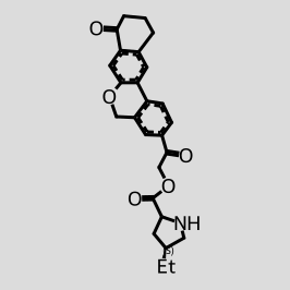 CC[C@@H]1CNC(C(=O)OCC(=O)c2ccc3c(c2)COc2cc4c(cc2-3)CCCC4=O)C1